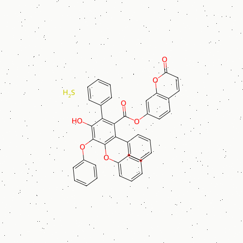 O=C(Oc1ccc2ccc(=O)oc2c1)c1c(-c2ccccc2)c(O)c(Oc2ccccc2)c(Oc2ccccc2)c1-c1ccccc1.S